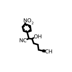 C#CCCCC(O)C(C#N)c1ccc([N+](=O)[O-])cc1